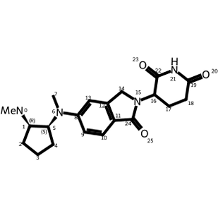 CN[C@@H]1CCC[C@@H]1N(C)c1ccc2c(c1)CN(C1CCC(=O)NC1=O)C2=O